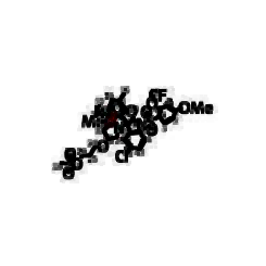 COc1ccc(S(=O)(=O)N2C(=O)C(c3cc(C)ccc3OC)(N3C[C@H](OCCCOS(C)(=O)=O)C[C@H]3C(=O)N(C)C)c3cc(Cl)ccc32)c(OC(F)(F)F)c1